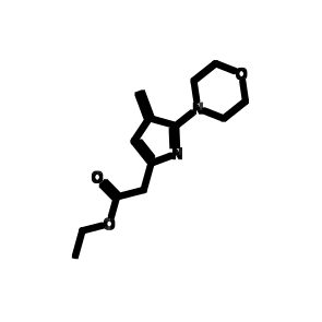 C=C1C=C(CC(=O)OCC)N=C1N1CCOCC1